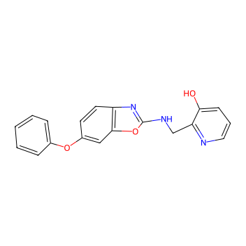 Oc1cccnc1CNc1nc2ccc(Oc3ccccc3)cc2o1